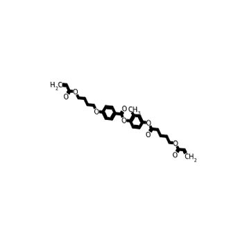 C=CC(=O)OCCCCOc1ccc(C(=O)Oc2ccc(OC(=O)CCCCOC(=O)C=C)cc2C)cc1